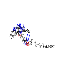 CCCCCCCCCCCCCCCCCC1NC(CCCCOn2c(CCCC)nc3c(N)nc4ccccc4c32)=NO1